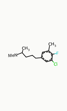 CNC(C)CCCc1cc(C)c(F)c(Cl)c1